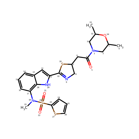 CC1CN(C(=O)CC2CN=C(c3cc4cccc(N(C)S(=O)(=O)c5cccs5)c4[nH]3)S2)CC(C)O1